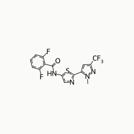 Cn1nc(C(F)(F)F)cc1-c1ncc(NC(=O)c2c(F)cccc2F)s1